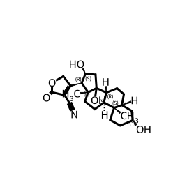 C[C@]12CC[C@H](O)C[C@H]1CC[C@@H]1[C@@H]2CC[C@]2(C)[C@@H](C3=C(C#N)C(=O)OC3)[C@@H](O)CC12O